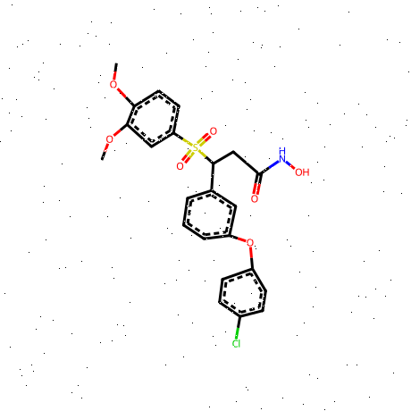 COc1ccc(S(=O)(=O)C(CC(=O)NO)c2cccc(Oc3ccc(Cl)cc3)c2)cc1OC